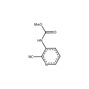 COC(=O)Nc1cccnc1C#N